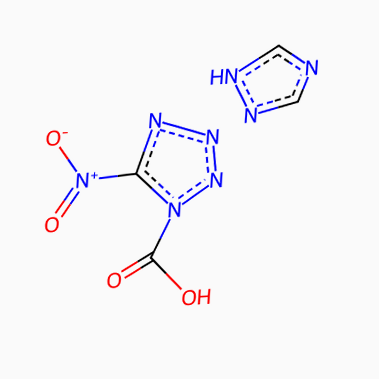 O=C(O)n1nnnc1[N+](=O)[O-].c1nc[nH]n1